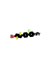 CCCc1ccc(-c2ccc(-c3cc4sc(Br)cc4s3)cc2)c(F)c1